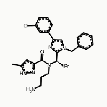 Cc1cc(C(=O)N(CCCN)[C@@H](c2nc(-c3cccc(Cl)c3)cn2Cc2ccccc2)C(C)C)n[nH]1